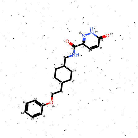 O=C(NCC1CCC(CCOc2ccccc2)CC1)c1ccc(=O)[nH]n1